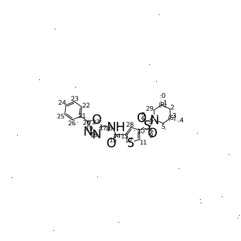 C[C@@H]1C[C@H](C)CN(S(=O)(=O)c2csc(C(=O)Nc3nnc(-c4ccccc4)o3)c2)C1